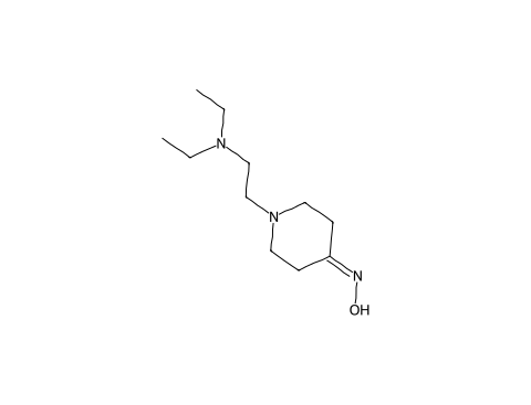 CCN(CC)CCN1CCC(=NO)CC1